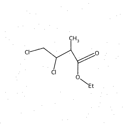 CCOC(=O)C(C)C(Cl)CCl